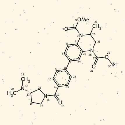 COC(=O)N1c2ccc(-c3ccc(C(=O)N4CC[C@H](N(C)C)C4)cc3)cc2N(C(=O)OC(C)C)CC1C